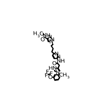 CNC(=O)c1cn(CCCCc2ccc(NC(=O)CC3=CN(C4(C)C=C(OC(F)(F)F)C=CC4)CN3)nn2)nn1